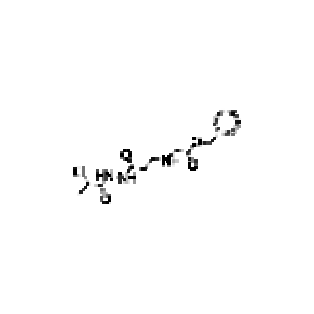 CC(Cl)C(=O)NNC(=O)CCNCC(=O)OCc1ccccc1